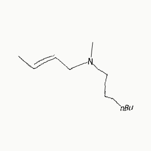 CC=CCN(C)CCCCCC